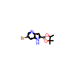 CC1OB(c2cc3ncc(Br)cc3[nH]2)OC1(C)C